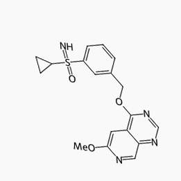 COc1cc2c(OCc3cccc(S(=N)(=O)C4CC4)c3)ncnc2cn1